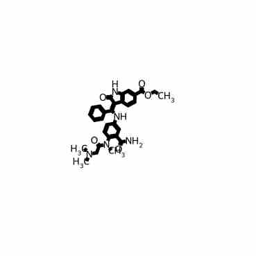 CCOC(=O)c1ccc2c(c1)NC(=O)/C2=C(/Nc1ccc(N(C)C(=O)CN(C)C)c(C(N)=O)c1)c1ccccc1